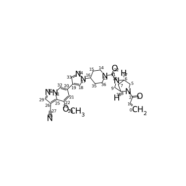 C=CC(=O)N1C[C@H]2C[C@@H]1CN2C(=O)N1CCC(n2cc(-c3cc(OC)c4c(C#N)cnn4c3)cn2)CC1